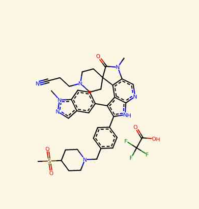 CN1C(=O)C2(CCN(CCC#N)CC2)c2c1cnc1[nH]c(-c3ccc(CN4CCC(S(C)(=O)=O)CC4)cc3)c(-c3ccc4c(cnn4C)c3)c21.O=C(O)C(F)(F)F